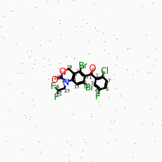 O=C(c1cc(F)ccc1Cl)c1c(Br)cc2c(c1Br)COC(=O)N2CC(F)F